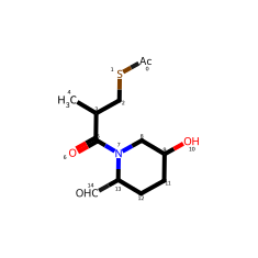 CC(=O)SCC(C)C(=O)N1CC(O)CCC1C=O